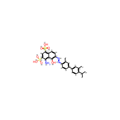 Cc1cc(-c2ccc(C(C)C)c(C)c2)ccc1N=Nc1ccc2c(S(=O)(=O)O)cc(S(=O)(=O)O)c(N)c2c1O